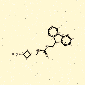 O=C(NC[C@H]1C[C@H](C(=O)O)C1)OCC1c2ccccc2-c2ccccc21